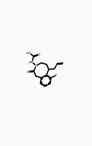 C=CCC1CCN(NC(=O)O)C(=O)Cc2cccc(F)c21